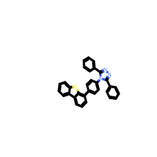 c1ccc(-c2nnc(-c3ccccc3)n2-c2ccc(-c3cccc4c3sc3ccccc34)cc2)cc1